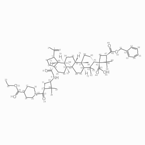 C=C(C)C1CC[C@]2(C(=O)NC3CC(C(=O)N4CCC(C(=O)OCC)CC4)C3(C)C)CC[C@]3(C)[C@H](CC[C@@H]4[C@]5(C)CC[C@H]([C@]6(C(=O)O)C[C@@H](C(=O)OCc7ccccc7)C6(C)C)C(C)(C)[C@H]5CC[C@]43C)[C@@H]12